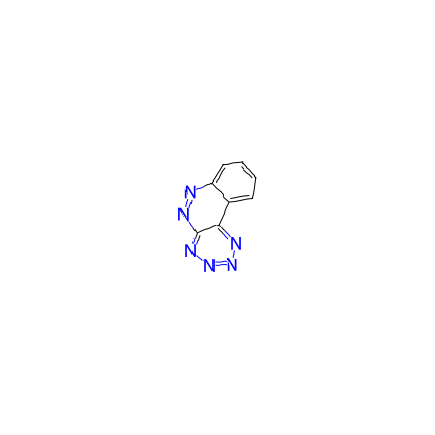 c1ccc2c(c1)nnc1nnnnc12